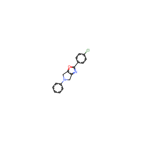 Clc1ccc(-c2nc3c(o2)CN(c2ccccc2)C3)cc1